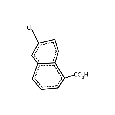 O=C(O)c1cccc2cc(Cl)ccc12